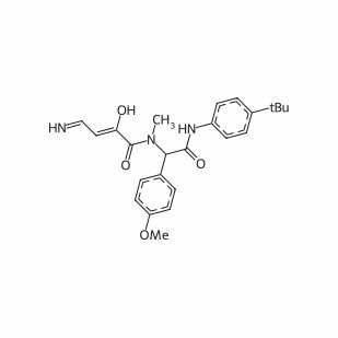 COc1ccc(C(C(=O)Nc2ccc(C(C)(C)C)cc2)N(C)C(=O)/C(O)=C/C=N)cc1